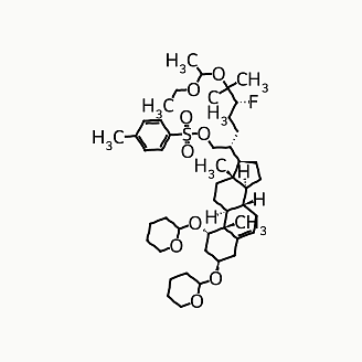 CCOC(C)OC(C)(C)[C@H](F)CC[C@@H](COS(=O)(=O)c1ccc(C)cc1)[C@H]1CC[C@H]2[C@@H]3CC=C4C[C@@H](OC5CCCCO5)C[C@H](OC5CCCCO5)[C@]4(C)[C@H]3CC[C@]12C